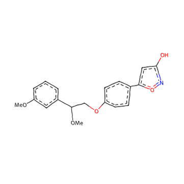 COc1cccc(C(COc2ccc(-c3cc(O)no3)cc2)OC)c1